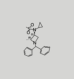 C[C@@H]1[C@@H](N(C2CC2)S(C)(=O)=O)CN1C(c1ccccc1)c1ccccc1